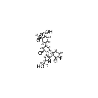 CC(C)(O)c1cn(-c2ccc(-c3ccc(CO)c(S(C)(=O)=O)c3)cc2Cl)c(-c2cccc(F)c2Cl)n1